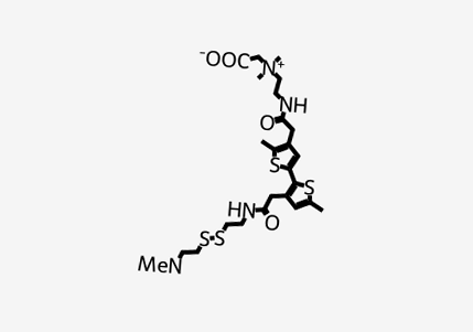 CNCCSSCCNC(=O)Cc1cc(C)sc1-c1cc(CC(=O)NCC[N+](C)(C)CC(=O)[O-])c(C)s1